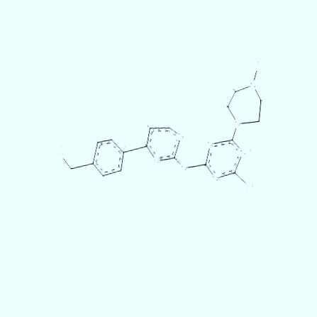 CCc1nc(Nc2nccc(-c3ccc(CO)cc3)n2)nc(N2CCN(C)CC2)n1